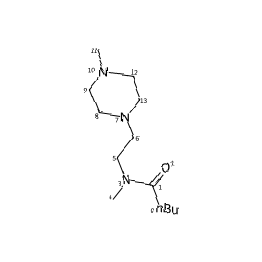 CCCCC(=O)N(C)CCN1CCN(C)CC1